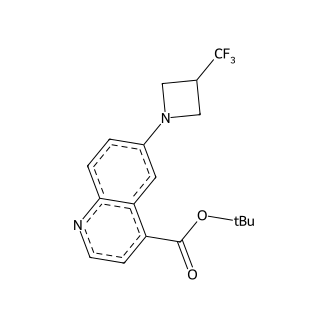 CC(C)(C)OC(=O)c1ccnc2ccc(N3CC(C(F)(F)F)C3)cc12